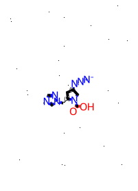 [N-]=[N+]=N[C@@H]1C[C@@H](Cn2cncn2)N(C(=O)O)C1